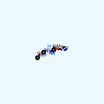 COc1cc2c(Nc3nc4ccc(NC(=O)c5ccccc5)cc4s3)ncnc2cc1OCCCN1CCN(C)CC1